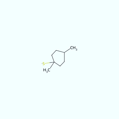 CC1CCC(C)([S])CC1